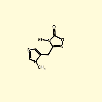 CCn1c(Cc2cncn2C)noc1=O